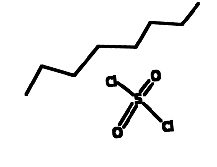 CCCCCCCC.O=S(=O)(Cl)Cl